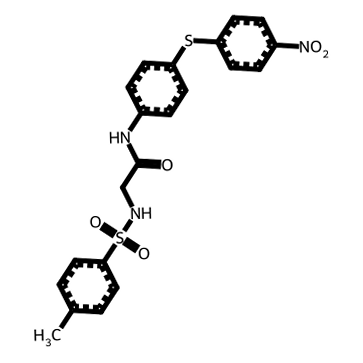 Cc1ccc(S(=O)(=O)NCC(=O)Nc2ccc(Sc3ccc([N+](=O)[O-])cc3)cc2)cc1